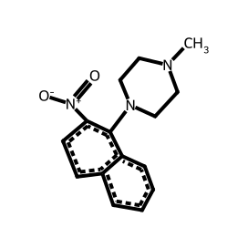 CN1CCN(c2c([N+](=O)[O-])ccc3ccccc23)CC1